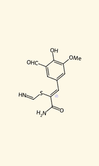 COc1cc(/C=C(\SC=N)C(N)=O)cc(C=O)c1O